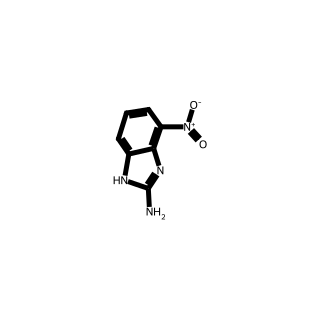 Nc1nc2c([N+](=O)[O-])cccc2[nH]1